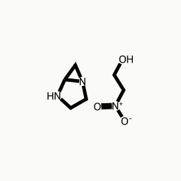 C1CN2CC2N1.O=[N+]([O-])CCO